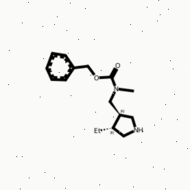 CC[C@H]1CNC[C@@H]1CN(C)C(=O)OCc1ccccc1